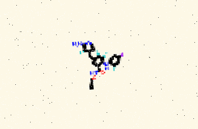 C#CCONC(=O)c1cc(Cc2ccnc(N)c2F)c(F)c(F)c1Nc1ccc(I)cc1F